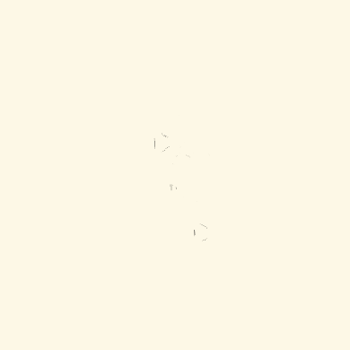 CN(CC(O)CNC(C)(C)CCCc1ccccc1)S(=O)(=O)c1cc(SCC(=O)O)cc(C(F)(F)F)c1